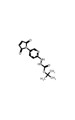 CC(C)(C)OC(=O)NNc1ccc(N2C(=O)C=CC2=O)cn1